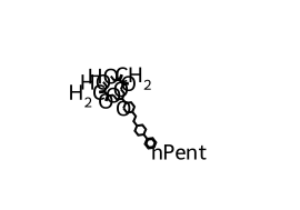 C=C(CO)C(=O)OCC(COC(=O)C(=C)CO)C1CCC(CCC2CCC(c3ccc(CCCCC)cc3)CC2)CO1